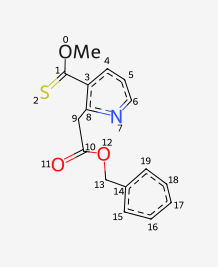 COC(=S)c1cccnc1CC(=O)OCc1ccccc1